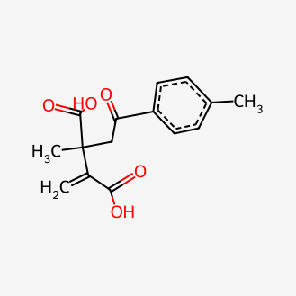 C=C(C(=O)O)C(C)(CC(=O)c1ccc(C)cc1)C(=O)O